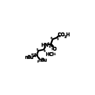 CCCCN(CCCC)CCNC(=O)CCC(=O)O.Cl